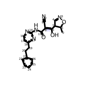 CC1ON=CC1/C(O)=C(\C#N)C(=O)Nc1nccc(CCc2ccccc2)n1